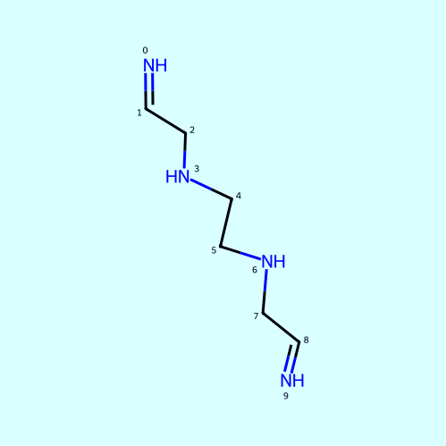 N=CCNCCNCC=N